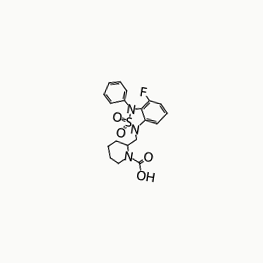 O=C(O)N1CCCCC1CN1c2cccc(F)c2N(c2ccccc2)S1(=O)=O